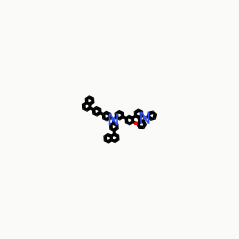 CC1CC=C(c2cccc(N(c3ccc(-c4ccc(-c5cccc6ccccc56)cc4)cc3)c3ccc(-c4cccc5ccccc45)cc3)c2)C=C1c1cccc2c1c1ccccc1n2-c1ccccc1